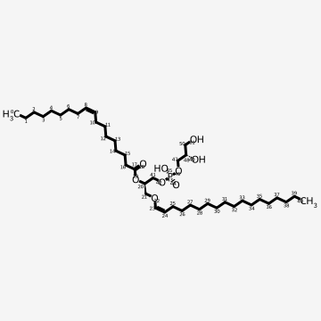 CCCCCCCC/C=C\CCCCCCCC(=O)O[C@H](CO/C=C\CCCCCCCCCCCCCCCC)COP(=O)(O)OC[C@@H](O)CO